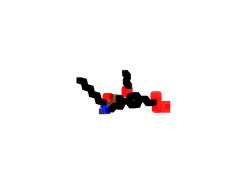 CCCCCCCC(=O)N(C)Cc1cc(-c2ccc(CCC(=O)O)cc2OCCCC)cs1